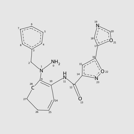 NN(Cc1ccccc1)C1=C(NC(=O)c2cc(-c3cnco3)on2)C=CCCC1